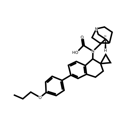 CCCOc1ccc(-c2ccc3c(c2)CCC2(CC2)C3N(C(=O)O)[C@@H]2CN3CCC2CC3)cc1